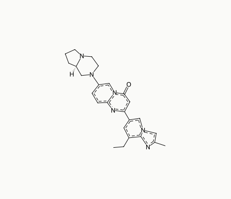 CCc1cc(-c2cc(=O)n3cc(N4CCN5CCC[C@@H]5C4)ccc3n2)cn2cc(C)nc12